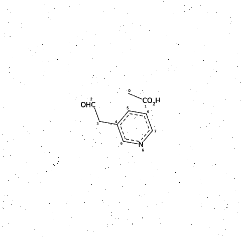 CC(=O)O.O=CCc1cccnc1